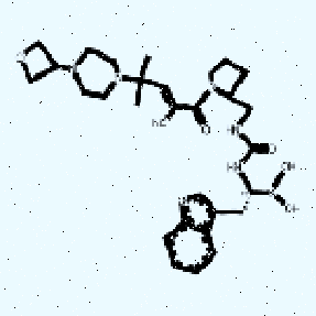 CC(C)(C=C(C#N)C(=O)N1CCCC1CNC(=O)N[C@@H](Cc1coc2ccccc12)B(O)O)N1CCN(C2COC2)CC1